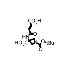 CC(C)(C)OC(=O)N1CC(NC(=O)C=CC(=O)O)(C(=O)O)C1